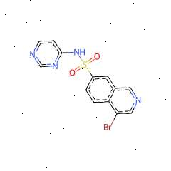 O=S(=O)(Nc1ccncn1)c1ccc2c(Br)cncc2c1